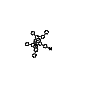 N#Cc1ccc(-c2cc(-n3c4ccc(-c5ccccc5)cc4c4cc(-c5ccccc5)ccc43)c(C(F)(F)F)c(-n3c4ccc(-c5ccccc5)cc4c4cc(-c5ccccc5)ccc43)c2)cc1